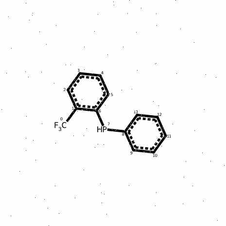 FC(F)(F)c1ccccc1Pc1ccccc1